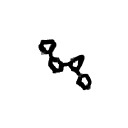 c1ccc(-c2cccc(-c3cc(N4CCOCC4)ccn3)n2)nc1